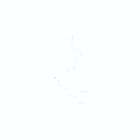 C[C@@H]1CN(Cc2ccncc2)C[C@H]1NC(=O)c1cc(C2CC2)on1